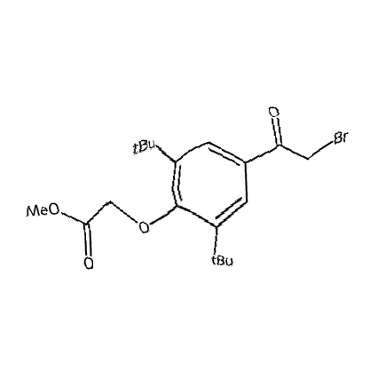 COC(=O)COc1c(C(C)(C)C)cc(C(=O)CBr)cc1C(C)(C)C